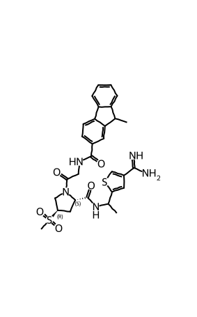 CC(NC(=O)[C@@H]1C[C@@H](S(C)(=O)=O)CN1C(=O)CNC(=O)c1ccc2c(c1)C(C)c1ccccc1-2)c1cc(C(=N)N)cs1